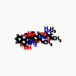 CC[C@H](NC(=O)[C@@H](N)[C@H](C)CC)C(=O)[C@@H](CO)[C@@H](O)C(O)C(N)(O)C(=O)C(c1ccccc1)[C@H](N)C(=O)O